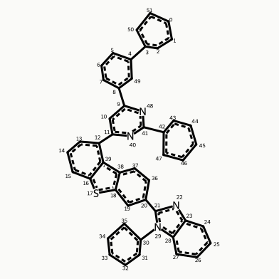 c1ccc(-c2cccc(-c3cc(-c4cccc5sc6cc(-c7nc8ccccc8n7-c7ccccc7)ccc6c45)nc(-c4ccccc4)n3)c2)cc1